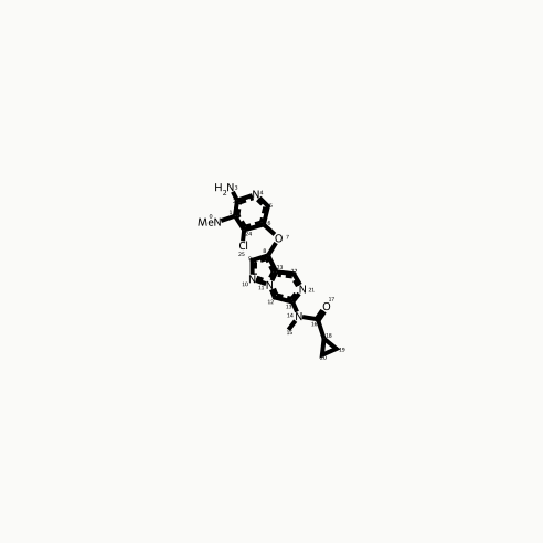 CNc1c(N)ncc(Oc2cnn3cc(N(C)C(=O)C4CC4)ncc23)c1Cl